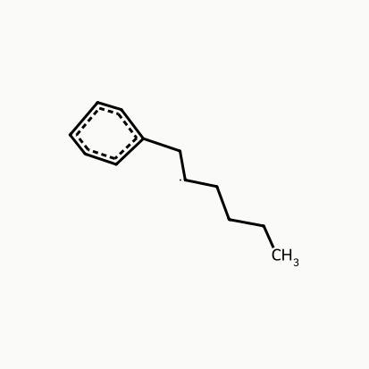 CCCC[CH]Cc1ccccc1